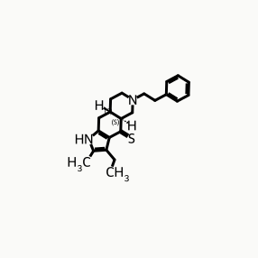 CCc1c(C)[nH]c2c1C(=S)[C@@H]1CN(CCc3ccccc3)CC[C@H]1C2